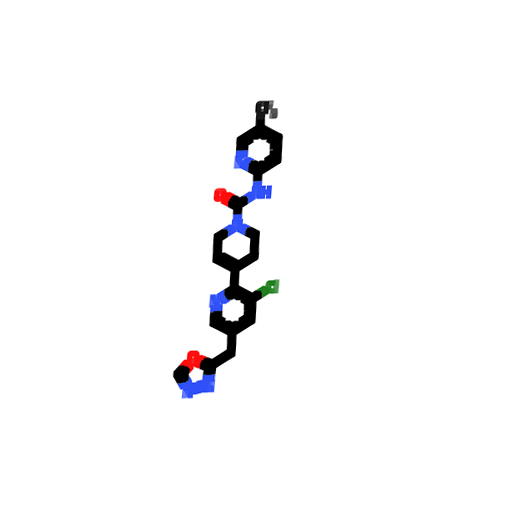 O=C(Nc1ccc(C(F)(F)F)cn1)N1CC=C(c2ncc(Cc3nnco3)cc2Cl)CC1